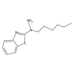 CCCCCCN(N)c1nc2ccccc2s1